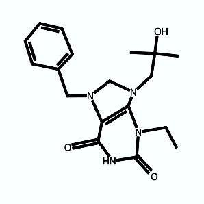 CCn1c2c(c(=O)[nH]c1=O)N(Cc1ccccc1)CN2CC(C)(C)O